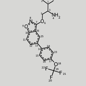 CC(C)C(N)COc1noc2ccc(-c3ccc(OC(F)(F)F)cc3)cc12